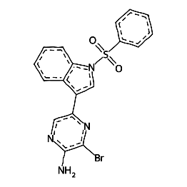 Nc1ncc(-c2cn(S(=O)(=O)c3ccccc3)c3ccccc23)nc1Br